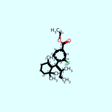 C=CC(C)=C(C1=C(C)CCCC1(C)C)c1ccc(C(=O)OCC)cc1F